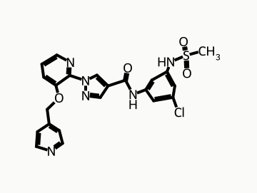 CS(=O)(=O)Nc1cc(Cl)cc(NC(=O)c2cnn(-c3ncccc3OCc3ccncc3)c2)c1